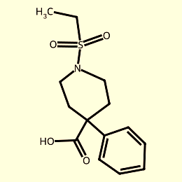 CCS(=O)(=O)N1CCC(C(=O)O)(c2ccccc2)CC1